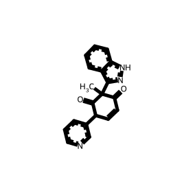 CC1(c2n[nH]c3ccccc23)C(=O)C=CC(c2cccnc2)C1=O